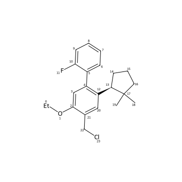 CCOc1cc(-c2ccccc2F)c([C@H]2CCCC2(C)C)cc1CCl